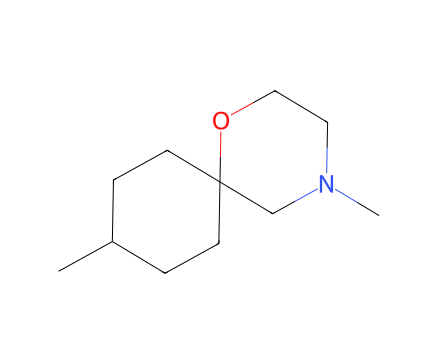 CC1CCC2(CC1)CN(C)CCO2